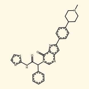 CN1CCC(c2ccc(-c3cc4ncn(C(C(=O)Nc5nccs5)c5ccccc5)c(=O)c4s3)cc2)CC1